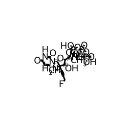 Cc1cc(=O)[nH]c(=O)n1[C@@H]1OC([C@@H](C)OP(=O)(O)OP(=O)(O)OP(=O)(O)O)[C@H](O)C1(N)C#CCF